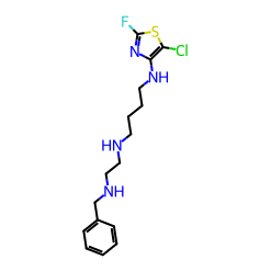 Fc1nc(NCCCCNCCNCc2ccccc2)c(Cl)s1